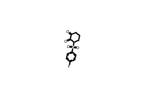 O=C1CCCC(S(=O)(=O)c2ccc(F)cc2)C1=O